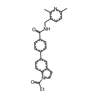 CCC(=O)n1ccc2cc(-c3ccc(C(=O)NCc4ccc(C)nc4C)cc3)ccc21